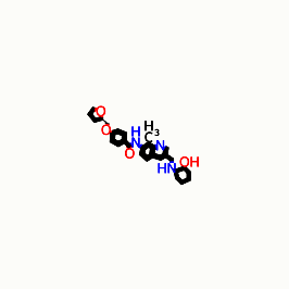 Cc1c(NC(=O)c2ccc(OC[C@@H]3CCCO3)cc2)ccc2cc(CN[C@H]3CCCCC3O)cnc12